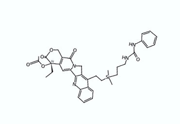 CC[C@@]1(OC(C)=O)C(=O)OCc2c1cc1n(c2=O)Cc2c-1nc1ccccc1c2CC[Si](C)(C)CCCNC(=O)Nc1ccccc1